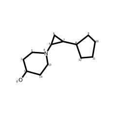 [O]C1CCN(C2CC2C2CCCC2)CC1